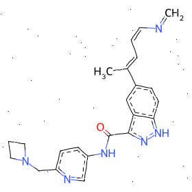 C=N/C=C\C=C(/C)c1ccc2[nH]nc(C(=O)Nc3ccc(CN4CCC4)nc3)c2c1